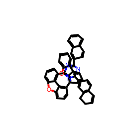 C1=Cc2ccc(-c3nc(-c4ccc5ccccc5c4)nc(-c4cccc5oc6cccc(-c7cccc8c7oc7ccccc78)c6c45)n3)cc2CC1